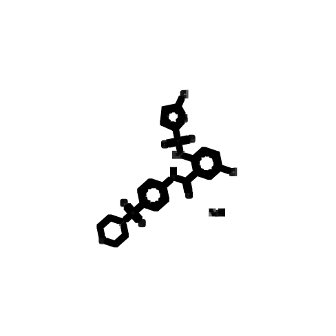 O=C(Nc1ccc(S(=O)(=O)N2CCOCC2)cc1)c1cc(Cl)ccc1NS(=O)(=O)c1ccc(Cl)s1.[NaH]